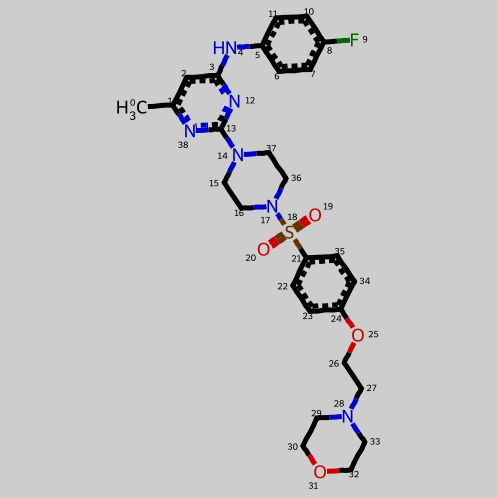 Cc1cc(Nc2ccc(F)cc2)nc(N2CCN(S(=O)(=O)c3ccc(OCCN4CCOCC4)cc3)CC2)n1